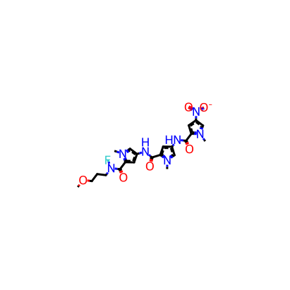 COCCCN(F)C(=O)c1cc(NC(=O)c2cc(NC(=O)c3cc([N+](=O)[O-])cn3C)cn2C)cn1C